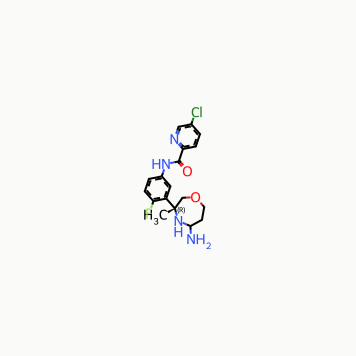 C[C@@]1(c2cc(NC(=O)c3ccc(Cl)cn3)ccc2F)COCCC(N)N1